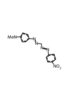 CNc1ccc(N=NCN=Nc2ccc([N+](=O)[O-])cc2)cc1